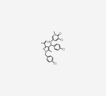 C=C(C)c1nn(Cc2ccc(CC)cc2)c(C)c1C(Nc1cc(Cl)c(=O)n(C)c1)c1ccc(Cl)cc1